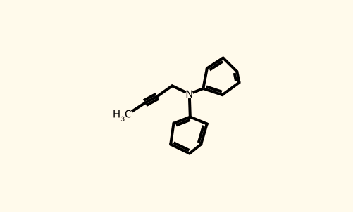 CC#CCN(c1ccccc1)c1ccccc1